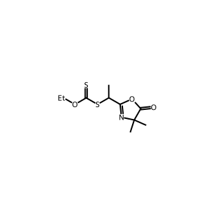 CCOC(=S)SC(C)C1=NC(C)(C)C(=O)O1